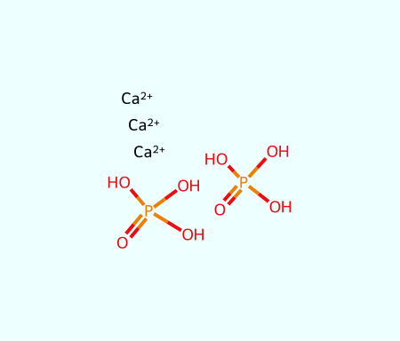 O=P(O)(O)O.O=P(O)(O)O.[Ca+2].[Ca+2].[Ca+2]